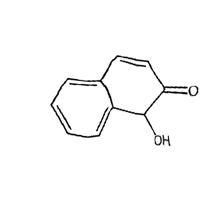 O=C1C=Cc2ccccc2C1O